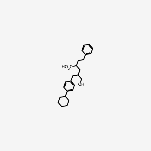 O=C(O)C(CCc1ccccc1)CC(CO)Cc1ccc(C2CCCCC2)cc1